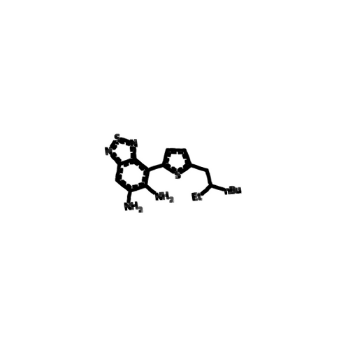 CCCCC(CC)Cc1ccc(-c2c(N)c(N)cc3nsnc23)s1